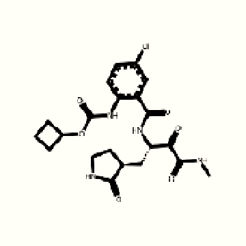 CNC(=O)C(=O)[C@H](C[C@@H]1CCNC1=O)NC(=O)c1cc(Cl)ccc1NC(=O)OC1CCC1